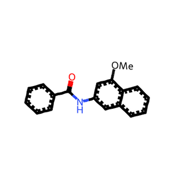 COc1cc(NC(=O)c2ccccc2)cc2ccccc12